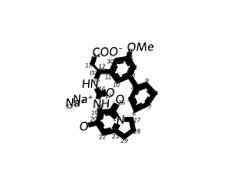 COc1cc(-c2ccccc2)cc([C@H](CC(=O)[O-])NC(=O)Nc2c([O-])cc3n(c2=O)CCC3)c1.[Na+].[Na+]